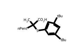 CCCCCC(C)(Sc1cc(C(C)(C)C)cc(C(C)(C)C)c1)C(=O)O